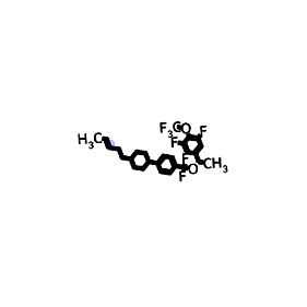 C/C=C/CCC1CCC(c2ccc(C(F)(F)OC(C)c3cc(F)c(OC(F)(F)F)c(F)c3)cc2)CC1